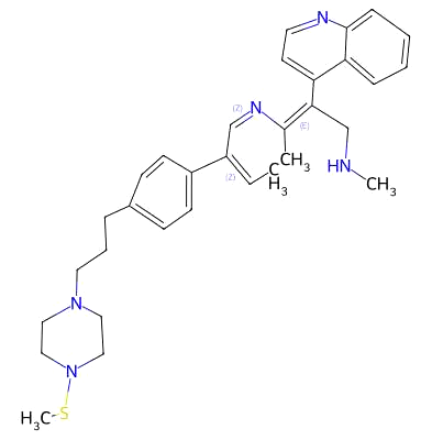 C\C=C(/C=N\C(C)=C(\CNC)c1ccnc2ccccc12)c1ccc(CCCN2CCN(SC)CC2)cc1